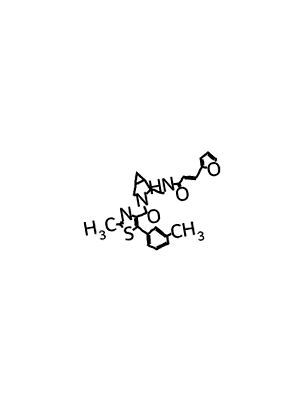 Cc1cccc(-c2sc(C)nc2C(=O)N2CC3CC3C2CNC(=O)/C=C/c2ccco2)c1